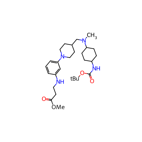 COC(=O)CCNc1cccc(N2CCC(CN(C)C3CCC(NC(=O)OC(C)(C)C)CC3)CC2)c1